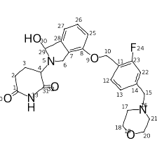 O=C1CCC(N2Cc3c(OCc4ccc(CN5CCOCC5)cc4F)cccc3C2O)C(=O)N1